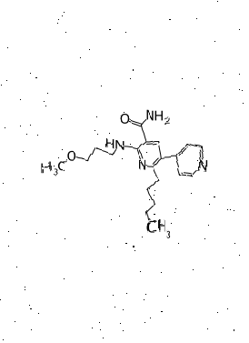 CCCCCc1nc(NCCCOC)c(C(N)=O)cc1-c1ccncc1